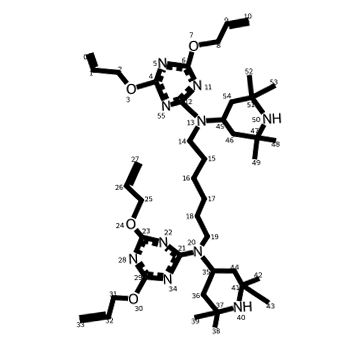 C=CCOc1nc(OCC=C)nc(N(CCCCCCN(c2nc(OCC=C)nc(OCC=C)n2)C2CC(C)(C)NC(C)(C)C2)C2CC(C)(C)NC(C)(C)C2)n1